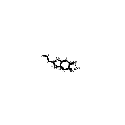 CCCc1nc2cc3nsnc3cc2[nH]1